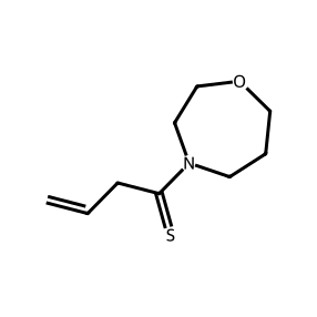 C=CCC(=S)N1CCCOCC1